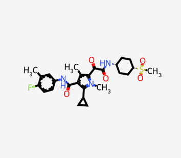 Cc1cc(NC(=O)c2c(C)c(C(=O)C(=O)N[C@H]3CC[C@@H](S(C)(=O)=O)CC3)n(C)c2C2CC2)ccc1F